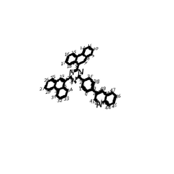 C1=CC(c2nc(-c3cc4ccccc4c4ccccc34)nc(-c3cc4ccccc4c4ccccc34)n2)CC=C1c1cnc2ccccc2c1